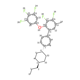 CCC[C@H]1CC[C@H](c2ccc(-c3cc(C)c(F)c(F)c3Oc3cc(F)c(F)c(F)c3)cc2)CC1